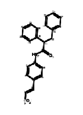 O=C(O)C=Cc1ccc(NC(=O)C(Cc2ccccc2)c2ccccc2)cc1